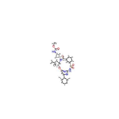 Cc1cccc(C)c1-c1cc2nc(n1)NS(=O)(=O)c1cccc(c1)C(=O)N([C@H]1C[C@@H](NC(=O)OC(C)C)C1)[C@H](CC1(C(F)(F)F)CC1)CO2